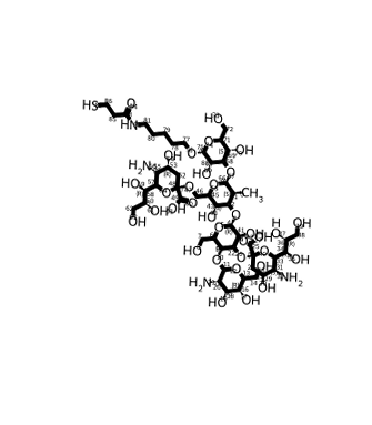 C[C@H]1C(O[C@@H]2OC(CO)[C@H](OC3OC(CO)[C@H](O)[C@H](O)[C@@H]3N)C(O[C@@]3(C(=O)O)C[C@H](O)[C@H](N)C([C@H](O)[C@H](O)CO)O3)[C@@H]2O)[C@H](O)C(CO[C@]2(C(=O)O)C[C@@H](O)[C@@H](N)C([C@H](O)[C@H](O)CO)O2)O[C@H]1OC1[C@@H](O)C(CO)O[C@@H](OCCCCCNC(=O)CCS)[C@H]1O